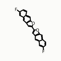 Fc1ccc2cc3oc(-c4cc5cc6cc(F)ccc6cc5o4)cc3cc2c1